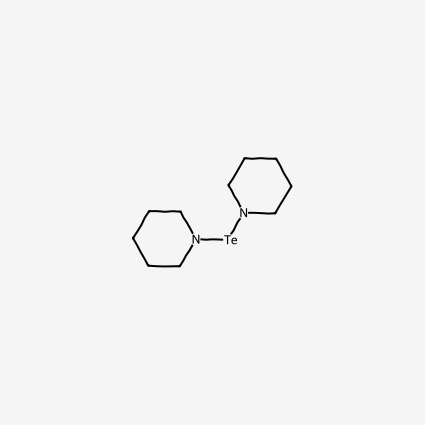 C1CCN([Te]N2CCCCC2)CC1